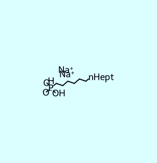 CCCCCCCCCCCCC[PH]([O-])([O-])O.[Na+].[Na+]